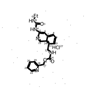 CCNC(=O)Nc1cc2cccc(CNC(=O)OCc3ccccn3)c2cn1.Cl